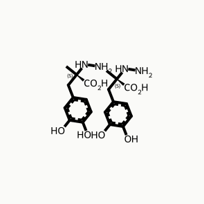 C[C@@](Cc1ccc(O)c(O)c1)(NN)C(=O)O.C[C@@](Cc1ccc(O)c(O)c1)(NN)C(=O)O